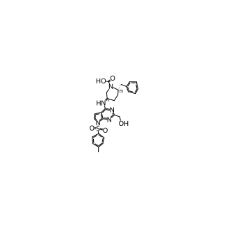 Cc1ccc(S(=O)(=O)n2ccc3c(N[C@@H]4CC[C@@H](Cc5ccccc5)N(C(=O)O)C4)nc(CO)nc32)cc1